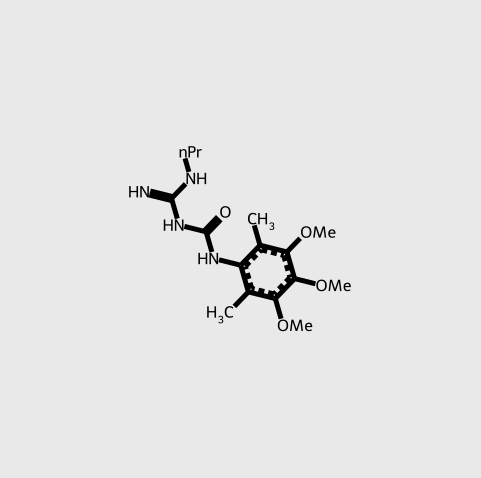 CCCNC(=N)NC(=O)Nc1c(C)c(OC)c(OC)c(OC)c1C